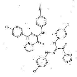 C#Cc1ccc(NC(=NNc2ccc(Cl)cc2)C(=O)c2ccco2)cc1.O=C(C(=NNc1ccc(Cl)cc1)Nc1ccc(Cl)cc1)c1ccco1